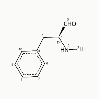 [3H]N[C@H]([C]=O)Cc1ccccc1